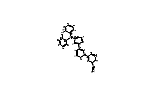 N#CC1C=C(C2C=C(c3cccc(N4c5ccccc5OC5C=CC=CC54)c3)C=CC2)C=NC1